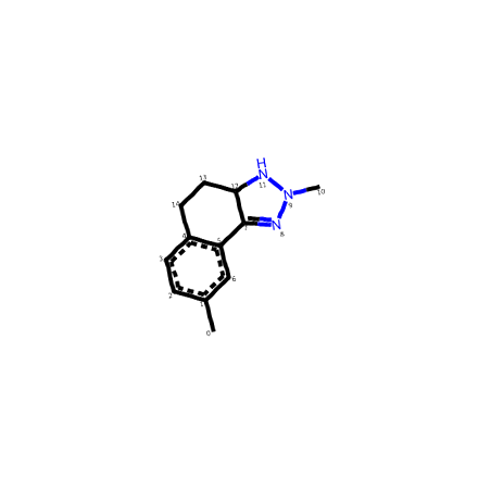 Cc1ccc2c(c1)C1=NN(C)NC1CC2